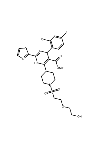 COC(=O)C1=C(C2CCN(S(=O)(=O)CCOCCO)CC2)NC(c2nccs2)=NC1c1ccc(F)cc1Cl